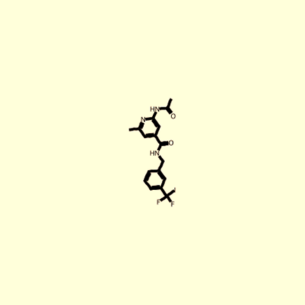 CC(=O)Nc1cc(C(=O)NCc2cccc(C(F)(F)I)c2)cc(C)n1